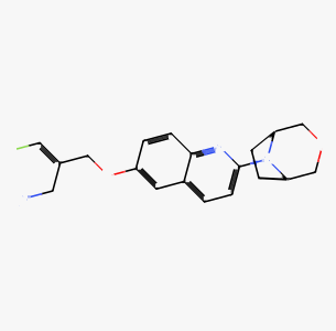 NC/C(=C\F)COc1ccc2nc(N3C4CCC3COC4)ccc2c1